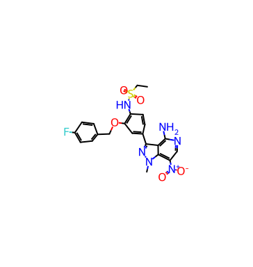 CCS(=O)(=O)Nc1ccc(-c2nn(C)c3c([N+](=O)[O-])cnc(N)c23)cc1OCc1ccc(F)cc1